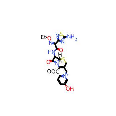 CCON=C(C(=O)NC1C(=O)N2C(C(=O)[O-])=C(C[n+]3cccc(O)c3)CS[C@@H]12)c1nsc(N)n1